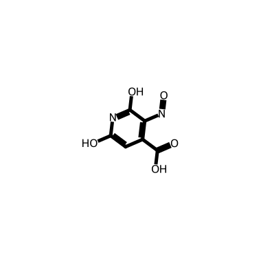 O=Nc1c(C(=O)O)cc(O)nc1O